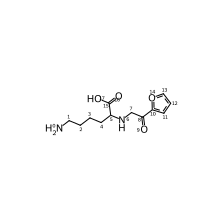 NCCCCC(NCC(=O)c1ccco1)C(=O)O